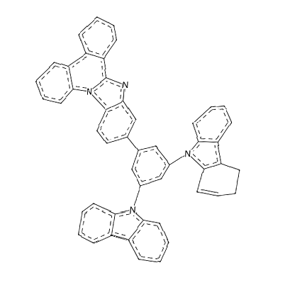 C1=Cc2c(c3ccccc3n2-c2cc(-c3ccc4c(c3)nc3c5ccccc5c5ccccc5n43)cc(-n3c4ccccc4c4ccccc43)c2)CC1